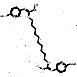 COc1ccc(/N=C(/NC#N)NCCCCCCCCCCN/C(=N\c2ccc(OC)nc2)NC#N)cn1